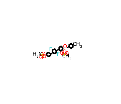 Cc1ccc(COc2ccc(-c3cc(F)c(-c4ccc(OS(C)(=O)=O)cc4)cc3F)cc2OS(C)(=O)=O)cc1